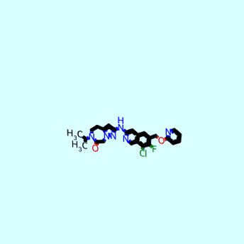 CC(C)N1CCc2cc(Nc3cc4cc(COc5ccccn5)c(F)c(Cl)c4cn3)nn2CC1=O